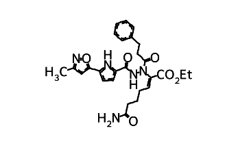 CCOC(=O)/C(=C/CCCC(N)=O)N(NC(=O)c1ccc(-c2cc(C)no2)[nH]1)C(=O)CCc1ccccc1